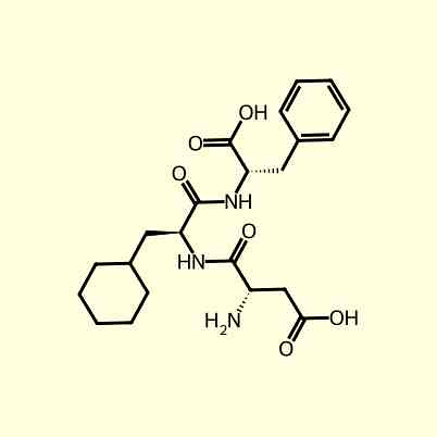 N[C@@H](CC(=O)O)C(=O)N[C@@H](CC1CCCCC1)C(=O)N[C@@H](Cc1ccccc1)C(=O)O